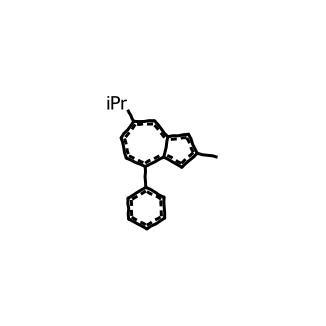 Cc1cc2cc(C(C)C)ccc(-c3ccccc3)c-2c1